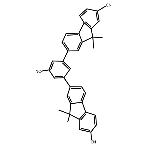 CC1(C)c2cc(C#N)ccc2-c2ccc(-c3cc(C#N)cc(-c4ccc5c(c4)C(C)(C)c4cc(C#N)ccc4-5)c3)cc21